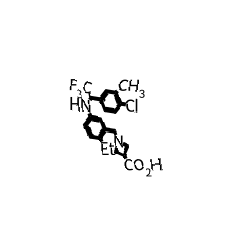 CCc1ccc(N[C@@H](c2ccc(Cl)c(C)c2)C(F)(F)F)cc1CN1CC(C(=O)O)C1